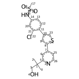 CC(C)(CO)c1cc(-c2cc(-c3ccc(NS(C)(=O)=O)cc3Cl)cs2)ccn1